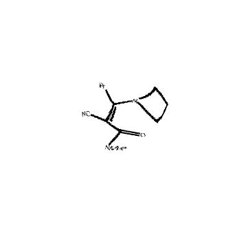 CNC(=O)C(C#N)=C(C(C)C)N1CCC1